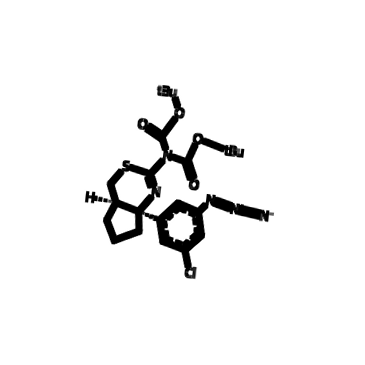 CC(C)(C)OC(=O)N(C(=O)OC(C)(C)C)C1=N[C@@]2(c3cc(Cl)cc(N=[N+]=[N-])c3)CCC[C@H]2CS1